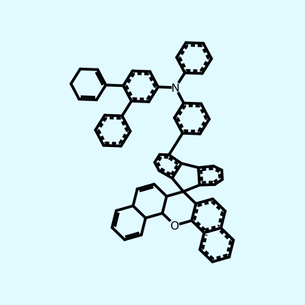 C1=CC2C=CC3C(Oc4c(ccc5ccccc45)C34c3ccccc3-c3c(-c5cccc(N(c6ccccc6)c6ccc(C7=CCCC=C7)c(-c7ccccc7)c6)c5)cccc34)C2C=C1